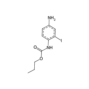 CCCOC(=O)Nc1ccc(N)cc1I